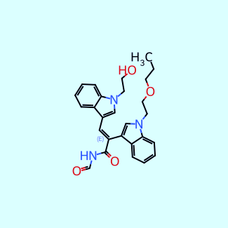 CCCOCCn1cc(/C(=C\c2cn(CCO)c3ccccc23)C(=O)NC=O)c2ccccc21